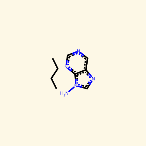 CCCC.Nn1cnc2cncnc21